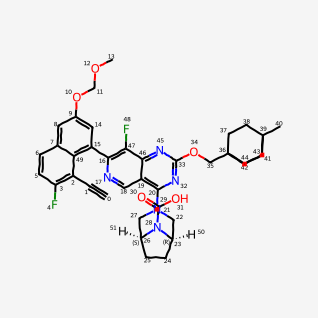 C#Cc1c(F)ccc2cc(OCOC)cc(-c3ncc4c(N5C[C@H]6CC[C@@H](C5)N6C(=O)O)nc(OCC56CCC(C)(CC5)CC6)nc4c3F)c12